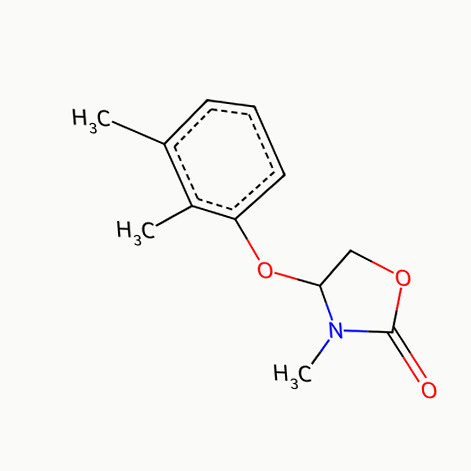 Cc1cccc(OC2COC(=O)N2C)c1C